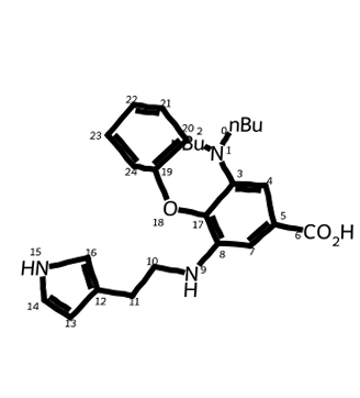 CCCCN(CCCC)c1cc(C(=O)O)cc(NCCc2cc[nH]c2)c1Oc1ccccc1